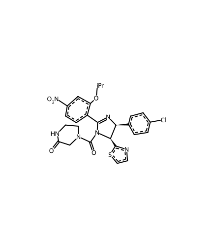 CC(C)Oc1cc([N+](=O)[O-])ccc1C1=N[C@@H](c2ccc(Cl)cc2)[C@@H](c2nccs2)N1C(=O)N1CCNC(=O)C1